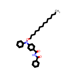 CCCCCCCCCCCCCCON(c1ccccc1)c1ccc(C(=O)NC(=O)c2ccccc2)cc1